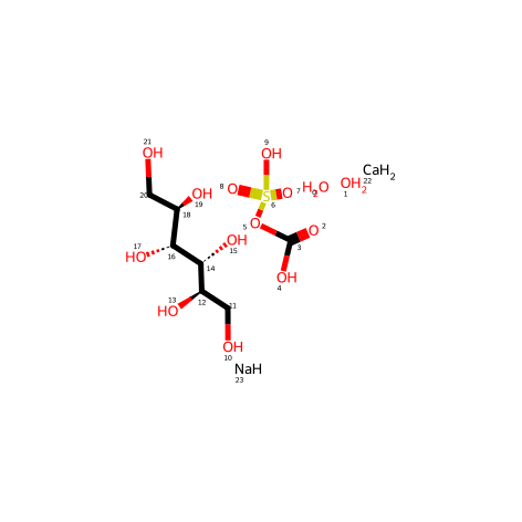 O.O.O=C(O)OS(=O)(=O)O.OC[C@@H](O)[C@@H](O)[C@H](O)[C@H](O)CO.[CaH2].[NaH]